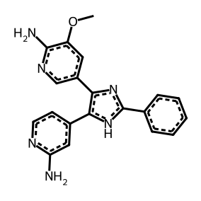 COc1cc(-c2nc(-c3ccccc3)[nH]c2-c2ccnc(N)c2)cnc1N